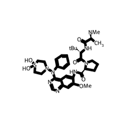 CN[C@@H](C)C(=O)N[C@H](C(=O)N1CCC[C@H]1C(=O)Nc1cc2c(N(c3ccccc3)N3CCS(O)(O)CC3)ncnc2cc1OC)C(C)(C)C